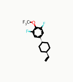 C=C[C@H]1CC[C@H](c2cc(F)c(OC(F)(F)F)c(F)c2)CC1